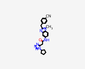 Cn1c(Cc2ccc(C#N)cc2)nc2cc(NC(=O)Cc3nnnn3C3CCCC3)ccc21